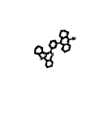 Brc1c2ccccc2c(-c2cccc(-c3nc4ccccc4c4nc5ccccc5n34)c2)c2ccccc12